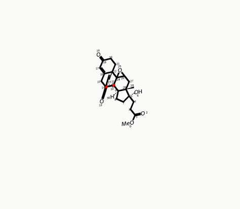 COC(=O)CC[C@@]1(O)CC[C@H]2C34OC(=O)C3CC3=CC(=O)CC[C@]3(C)C43OC3C[C@@]21C